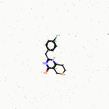 O=c1[nH]c(Cc2ccc(F)cc2)nc2c1CSCC2